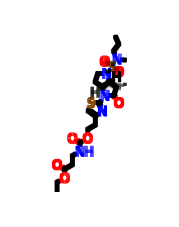 CCCN(C)S(=O)(=O)N1CC[C@H]2[C@H]1[C@H](C)C(=O)N2c1nc(CCOC(=O)NCCC(=O)OCC)cs1